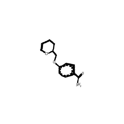 NC(=O)c1ccc(OCC2CCCCO2)cc1